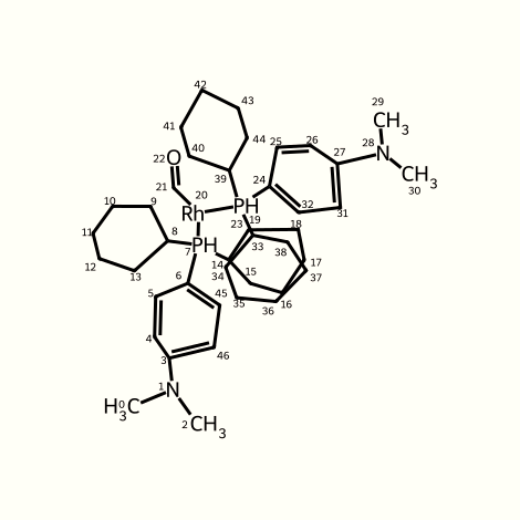 CN(C)c1ccc([PH](C2CCCCC2)(C2CCCCC2)[Rh]([CH]=O)[PH](c2ccc(N(C)C)cc2)(C2CCCCC2)C2CCCCC2)cc1